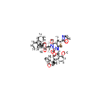 COc1ccccc1[C@H](Cn1c(=O)n(C(C)(C)C(=O)O[Si](c2ccccc2)(c2ccccc2)C(C)(C)C)c(=O)c2c(C)c(-c3ncco3)sc21)OC1C[C@@H]2COC[C@H]2C1